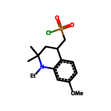 CCN1c2cc(OC)ccc2C(CS(=O)(=O)Cl)CC1(C)C